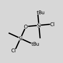 CC(C)(C)[Si](C)(Cl)O[Si](C)(Cl)C(C)(C)C